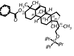 CC(C)[Si](OC[C@@H](C)[C@H]1CC[C@H]2[C@@H]3CC=C4C(C)(C)[C@@H](OC(=O)c5ccccc5)CC[C@]4(C)[C@H]3CC[C@]12C)(C(C)C)C(C)C